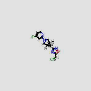 Fc1ccnc(N2C[C@@H]3[C@H](C2)[C@H]3c2noc(CCl)n2)c1